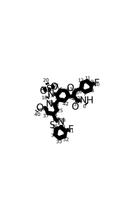 CNC(=O)c1c(-c2ccc(F)cc2)oc2cc(N(C)S(C)(=O)=O)c(-c3cc(-c4nc5c(F)cccc5s4)cc(OC)n3)cc12